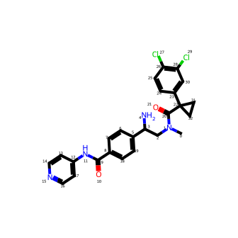 CN(CC(N)c1ccc(C(=O)Nc2ccncc2)cc1)C(=O)C1(c2ccc(Cl)c(Cl)c2)CC1